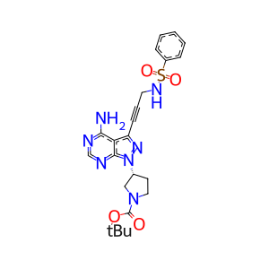 CC(C)(C)OC(=O)N1CC[C@@H](n2nc(C#CCNS(=O)(=O)c3ccccc3)c3c(N)ncnc32)C1